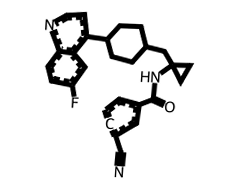 N#Cc1cccc(C(=O)NC2(CC3CCC(c4ccnc5ccc(F)cc45)CC3)CC2)c1